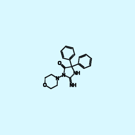 N=C1NC(c2ccccc2)(c2ccccc2)C(=O)N1N1CCOCC1